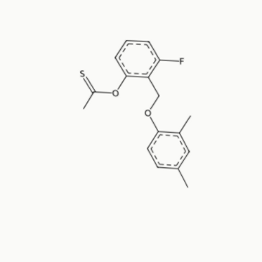 CC(=S)Oc1cccc(F)c1COc1ccc(C)cc1C